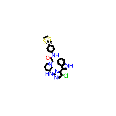 O=C(CN1CCC[C@@H](Nc2ncc(Cl)c(-c3c[nH]c4ccccc34)n2)C1)Nc1ccc([As]2SCCS2)cc1